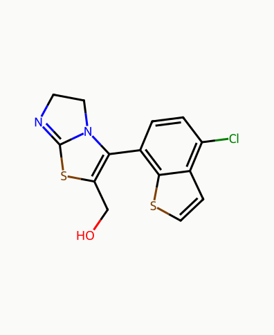 OCC1=C(c2ccc(Cl)c3ccsc23)N2CCN=C2S1